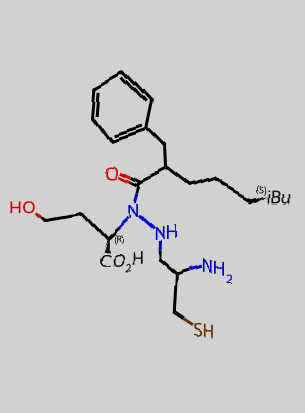 CC[C@H](C)CCCC(Cc1ccccc1)C(=O)N(NCC(N)CS)[C@H](CCO)C(=O)O